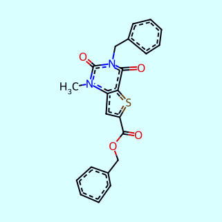 Cn1c(=O)n(Cc2ccccc2)c(=O)c2sc(C(=O)OCc3ccccc3)cc21